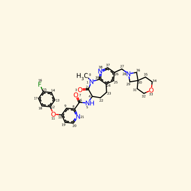 CN1C(=O)C(NC(=O)c2cc(Oc3ccc(F)cc3)ccn2)CCc2cc(CN3CC4(CCOCC4)C3)cnc21